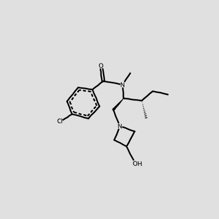 CC[C@H](C)[C@@H](CN1CC(O)C1)N(C)C(=O)c1ccc(Cl)cc1